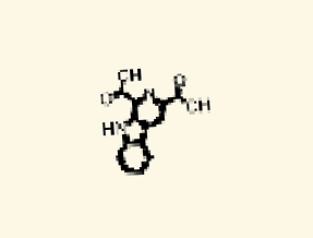 O=C(O)c1cc2c([nH]c3ccccc32)c(C(=O)O)n1